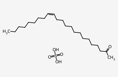 CCCCCCCC/C=C\CCCCCCCCCCCC(C)=O.O=S(=O)(O)O